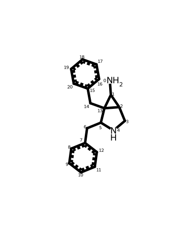 NC1C2CNC(Cc3ccccc3)C12Cc1ccccc1